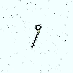 CCCCCCCCCCCCSC1CCCCCCC1